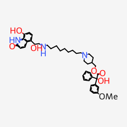 COc1cccc(C(O)(C(=O)OCC2CCN(CCCCCCCCCNCC(O)c3ccc(O)c4[nH]c(=O)ccc34)CC2)c2ccccc2)c1